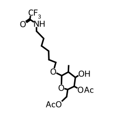 CC(=O)OCC1OC(OCCCCCCNC(=O)C(F)(F)F)C(C)C(O)C1OC(C)=O